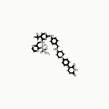 CN(c1nccnc1CNc1nc(Nc2ccc(CNC3CCN(c4ccc(C5CCC(=O)NC5=O)cc4)CC3)cc2)ncc1C(F)(F)F)S(C)(=O)=O